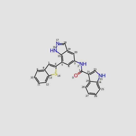 O=C(Nc1cc(-c2cc3ccccc3s2)c2[nH]ncc2c1)c1c[nH]c2ccccc12